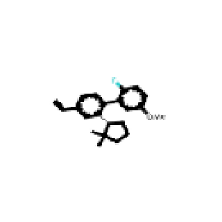 C=Cc1ccc(-c2cc(OC)ccc2F)c([C@@H]2CCCC2(C)C)c1